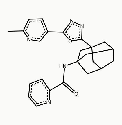 Cc1ccc(-c2nnc(C34CC5CC(CC(NC(=O)c6ccccn6)(C5)C3)C4)o2)cn1